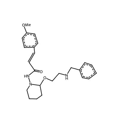 COc1ccc(/C=C/C(=O)NN2CCCCC2OCCNCc2ccccc2)cc1